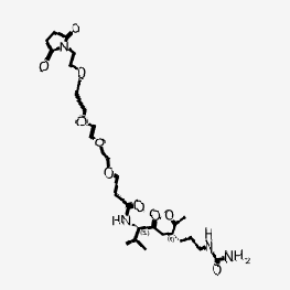 CC(=O)[C@H](CCCNC(N)=O)CC(=O)[C@@H](NC(=O)CCOCCOCCOCCOCCN1C(=O)CCC1=O)C(C)C